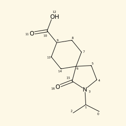 CC(C)N1CCC2(CCC(C(=O)O)CC2)C1=O